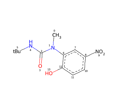 CN(C(=O)NC(C)(C)C)c1cc([N+](=O)[O-])ccc1O